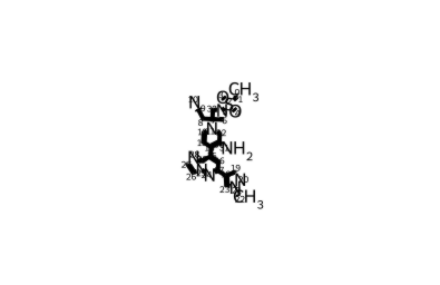 CCS(=O)(=O)N1CC(CC#N)(N2C=CC(c3cc(-c4cnn(C)c4)nn4ccnc34)=C(N)C2)C1